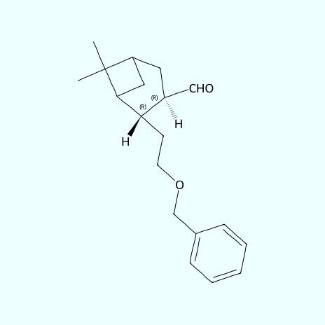 CC1(C)C2CC1[C@@H](CCOCc1ccccc1)[C@H](C=O)C2